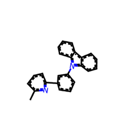 Cc1cccc(-c2cccc(-n3c4ccccc4c4ccccc43)c2)n1